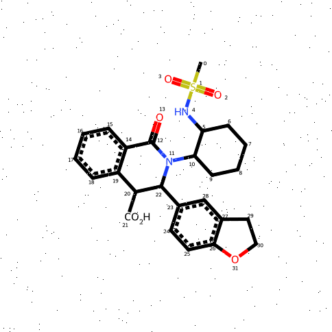 CS(=O)(=O)NC1CCCCC1N1C(=O)c2ccccc2C(C(=O)O)C1c1ccc2c(c1)CCO2